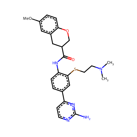 COc1ccc2c(c1)CC(C(=O)Nc1ccc(-c3ccnc(N)n3)cc1SCCN(C)C)CO2